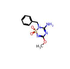 COC1=NS(=O)(=O)N(Cc2ccccc2)C(N)=N1